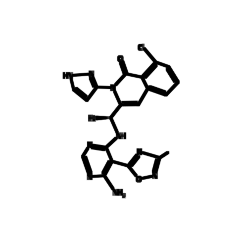 CC[C@H](Nc1ncnc(N)c1-c1nc(C)no1)c1cc2cccc(Cl)c2c(=O)n1-c1cc[nH]n1